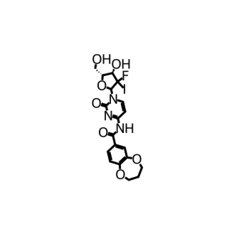 O=C(Nc1ccn(C2O[C@H](CO)[C@@H](O)C2(F)I)c(=O)n1)c1ccc2c(c1)OCCCO2